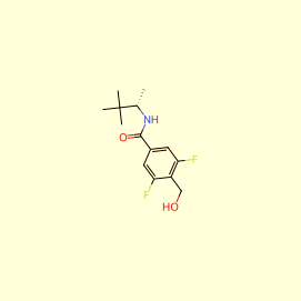 C[C@H](NC(=O)c1cc(F)c(CO)c(F)c1)C(C)(C)C